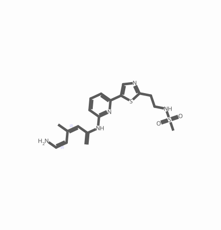 C=C(/C=C(C)\C=C/N)Nc1cccc(-c2cnc(CCNS(C)(=O)=O)s2)n1